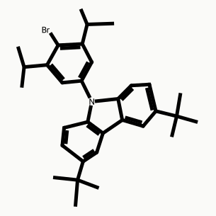 CC(C)c1cc(-n2c3ccc(C(C)(C)C)cc3c3cc(C(C)(C)C)ccc32)cc(C(C)C)c1Br